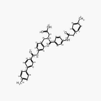 Cc1ccc(CC(=O)Nc2ccc(C(=O)N(CC(=O)O)Cc3ccc(OC(=O)c4ccc(-c5ccc(C)cc5)cc4)cc3)cc2)cc1